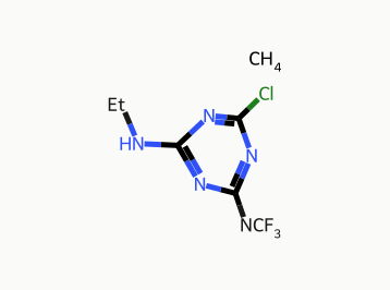 C.CCNc1nc(Cl)nc(NC(F)(F)F)n1